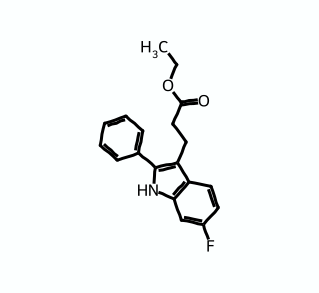 CCOC(=O)CCc1c(-c2ccccc2)[nH]c2cc(F)ccc12